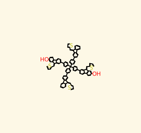 Oc1ccc2c(c1)/C(=C\c1cccs1)c1cc(-c3ccc(C(c4ccc(-c5ccc6c(c5)/C(=C/c5cccs5)c5cc(O)ccc5-6)cc4)(c4ccc(-c5ccc6c(c5)/C(=C/c5cccs5)c5ccccc5-6)cc4)c4ccc(-c5ccc6c(c5)/C(=C/c5cccs5)c5ccccc5-6)cc4)cc3)ccc1-2